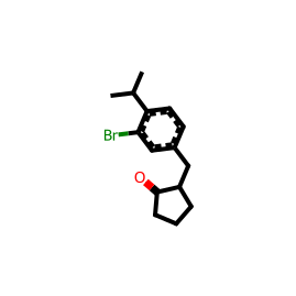 CC(C)c1ccc(CC2CCCC2=O)cc1Br